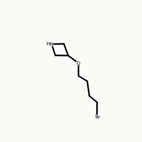 BrCCCCOC1CNC1